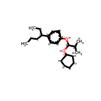 CCCC(CC)c1ccc(OC(OC2CCCCC2)C(C)C)cc1